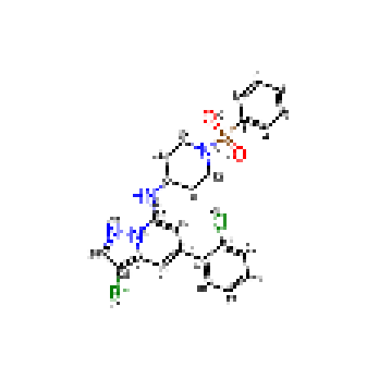 O=S(=O)(c1ccccc1)N1CCC(Nc2cc(-c3ccccc3Cl)cc3c(Br)cnn23)CC1